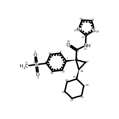 CS(=O)(=O)c1ccc([C@@]2(C(=O)Nc3nccs3)C[C@H]2C2CCCCC2)cc1